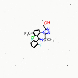 C[C@@H]1N=C(c2c(F)cccc2F)c2c(ccc(C(F)(F)F)c2Cl)-n2c(CO)nnc21